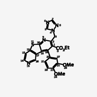 CCOC(=O)c1c(Cn2cncn2)nc2sc3ccncc3c2c1-c1ccc(OC)c(OC)c1